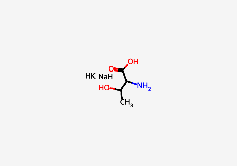 CC(O)C(N)C(=O)O.[KH].[NaH]